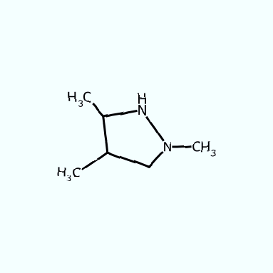 CC1CN(C)NC1C